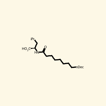 CCCCCCCCCCCCCCCCCC(=O)N[C@H](CC(C)C)C(=O)O